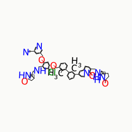 Cc1c(COc2cc(OCc3cncc(C#N)c3)c(CNC[C@H]3CCC(=O)N3)cc2Cl)cccc1-c1cccc(-c2ccn3c(=O)c(CNC[C@H]4CCC(=O)N4)ccc3c2)c1C